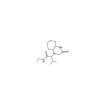 CCNC(=O)C(C(C)C)N1CC(=O)NC2CCCCC21